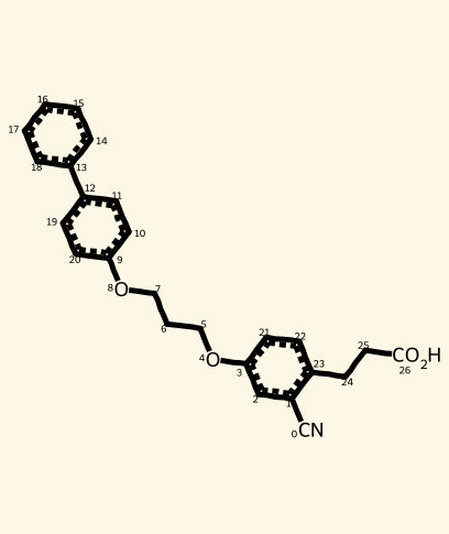 N#Cc1cc(OCCCOc2ccc(-c3ccccc3)cc2)ccc1CCC(=O)O